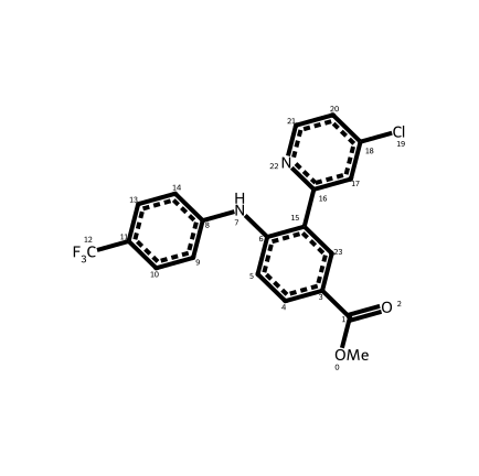 COC(=O)c1ccc(Nc2ccc(C(F)(F)F)cc2)c(-c2cc(Cl)ccn2)c1